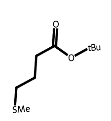 CSCCCC(=O)OC(C)(C)C